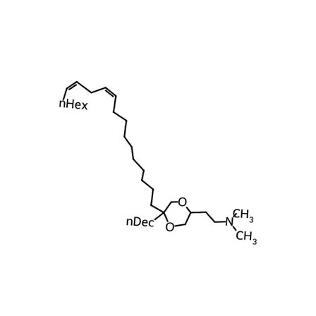 CCCCCC/C=C\C/C=C\CCCCCCCCCC1(CCCCCCCCCC)COC(CCN(C)C)CO1